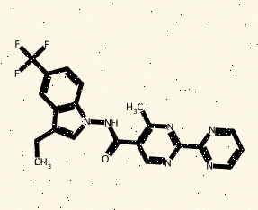 CCc1cn(NC(=O)c2cnc(-c3ncccn3)nc2C)c2ccc(C(F)(F)F)cc12